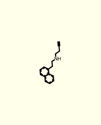 C#CCCNCCc1cccc2ccccc12